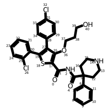 O=C(NC(=O)C1(c2ccccc2)CCNCC1)c1sc(-c2ccccc2Cl)c(-c2ccc(Cl)cc2)c1OCCCO